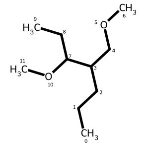 CCCC(COC)C(CC)OC